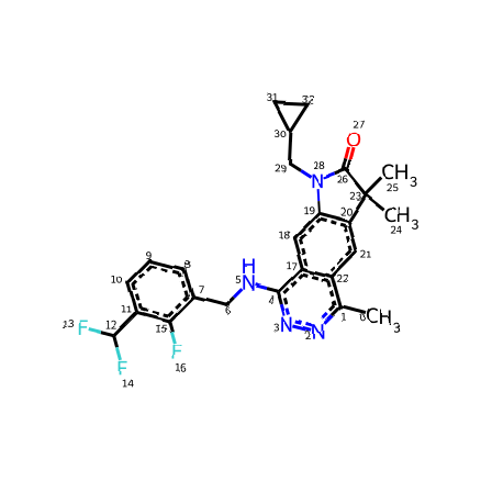 Cc1nnc(NCc2cccc(C(F)F)c2F)c2cc3c(cc12)C(C)(C)C(=O)N3CC1CC1